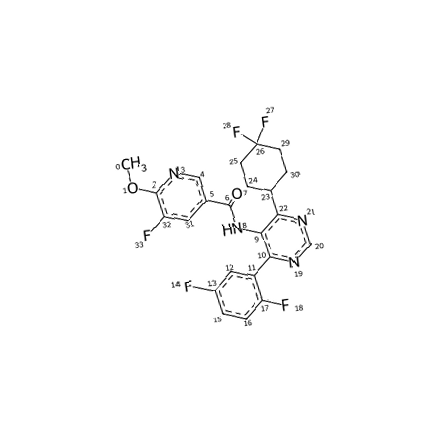 COc1ncc(C(=O)Nc2c(-c3cc(F)ccc3F)ncnc2C2CCC(F)(F)CC2)cc1F